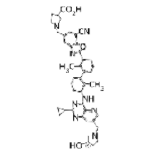 Cc1c(Nc2nc(C3CC3)nc3cc(CN4CC[C@@H](O)C4)cnc23)cccc1-c1cccc(-c2nc3cc(CN4CCC(C(=O)O)C4)cc(C#N)c3o2)c1C